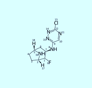 FC1[C@@H]2CC[C@H](C[C@H]1Nc1cnc(Cl)nn1)N2